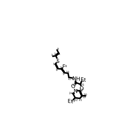 C/C=C(\C)S/C=C\C(F)=C\CCNC(=O)C(CC)OC1=C(C)CC(CC)C=N1